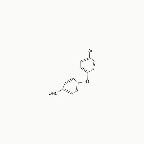 CC(=O)c1ccc(Oc2ccc(C=O)cc2)cc1